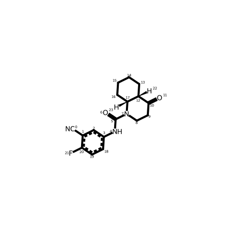 N#Cc1cc(NC(=O)N2CCC(=O)[C@H]3CCCC[C@H]32)ccc1F